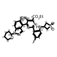 CCOC(=O)c1nc(-c2cc(F)ccc2NC2CS(=O)(=O)C2)nc(-c2c(C)ccc3c2cnn3C2CCCCO2)c1N